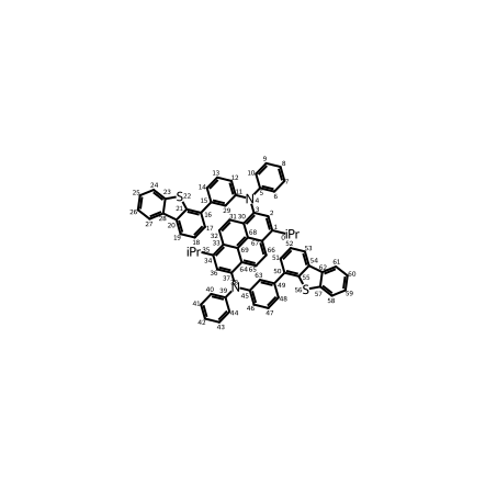 CC(C)c1cc(N(c2ccccc2)c2cccc(-c3cccc4c3sc3ccccc34)c2)c2ccc3c(C(C)C)cc(N(c4ccccc4)c4cccc(-c5cccc6c5sc5ccccc56)c4)c4ccc1c2c34